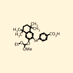 CCOC(OC)Oc1cc2c(cc1[Se]c1ccc(C(=O)O)cc1)C(C)(C)CCC2(C)C